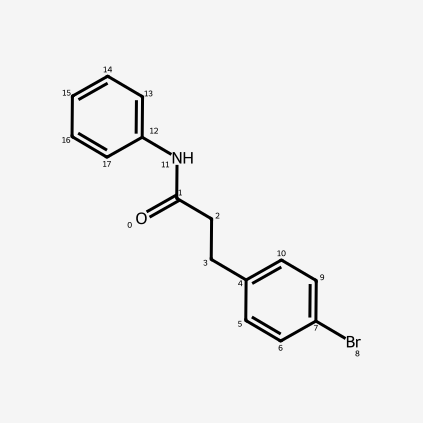 O=C(CCc1ccc(Br)cc1)Nc1ccccc1